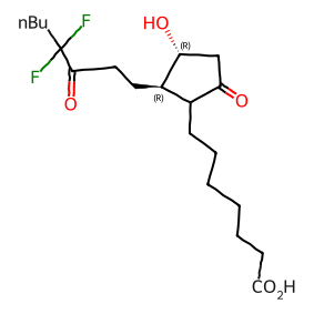 CCCCC(F)(F)C(=O)CC[C@@H]1C(CCCCCCC(=O)O)C(=O)C[C@H]1O